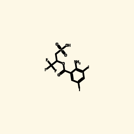 Nc1c(I)cc(I)cc1C(=O)OC(CS(=O)(=O)O)C(F)(F)F